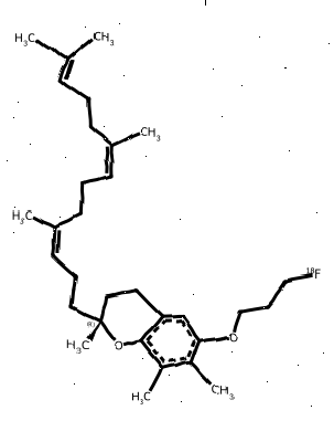 CC(C)=CCCC(C)=CCCC(C)=CCC[C@]1(C)CCc2cc(OCCC[18F])c(C)c(C)c2O1